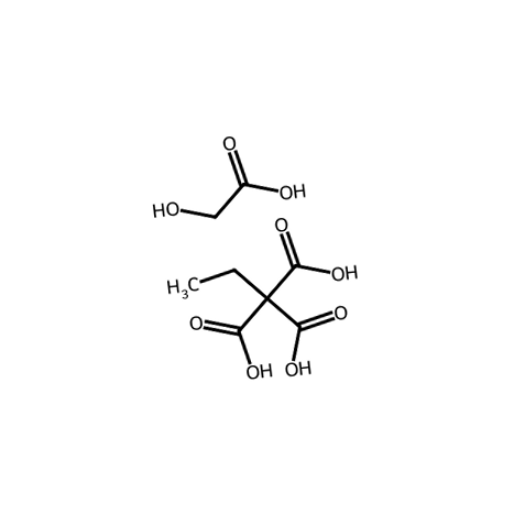 CCC(C(=O)O)(C(=O)O)C(=O)O.O=C(O)CO